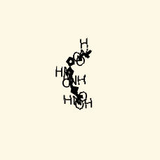 CC(C)NC(=O)O[C@@H]1CC[C@H](c2cc(NC(=O)C34CC(C(=O)NO)(C3)C4)n[nH]2)C1